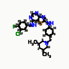 CC1CC(C)CN(Cc2ccc(Nc3nc4ncnc(Nc5ccc(F)c(Cl)c5)c4s3)cc2)C1